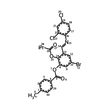 Cc1ccc(C(=O)Oc2cc(Br)cc(C=Nc3ccc(Cl)cc3Cl)c2OC(=O)C(C)C)cc1